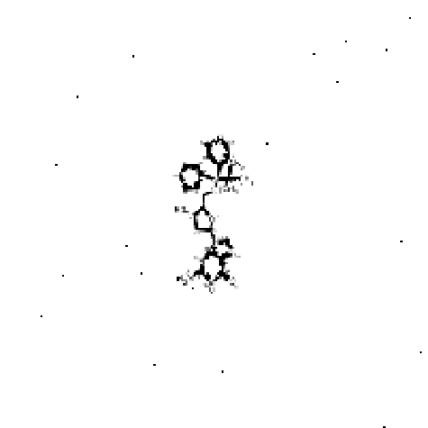 CC(C)(C)[Si](OC[C@H]1O[C@@H](n2cnc3c(=O)[nH]c(N)nc32)C[C@@H]1O)(c1ccccc1)c1ccccc1